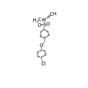 C#CN(C)S(=O)(=O)c1ccc(COc2ccc(Cl)cc2)cc1